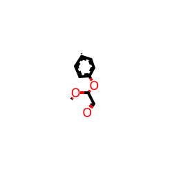 COC(C=O)Oc1cc[c]cc1